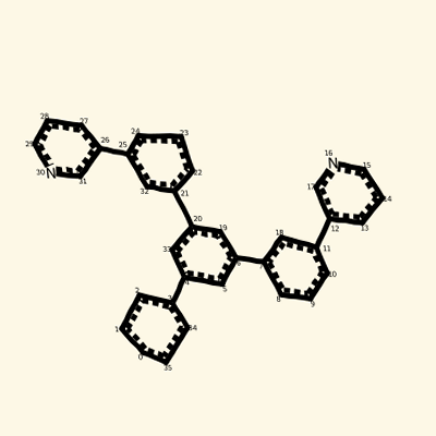 c1ccc(-c2cc(-c3cccc(-c4cccnc4)c3)cc(-c3cccc(-c4cccnc4)c3)c2)cc1